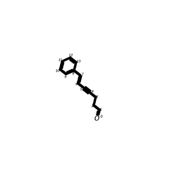 O=CCCC#C/C=C/c1ccccc1